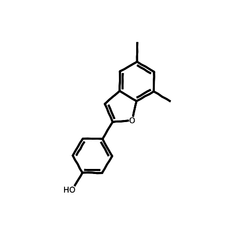 Cc1cc(C)c2oc(-c3ccc(O)cc3)cc2c1